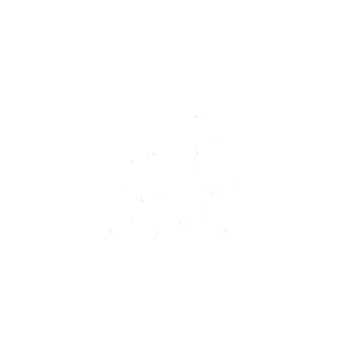 CC(=O)CC(=O)C(=O)[O-].CC(=O)CC(=O)C(=O)[O-].[V+2]